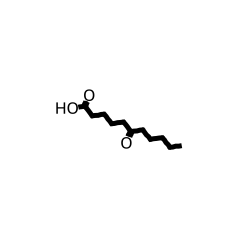 CCCCCC(=O)CCCCC(=O)O